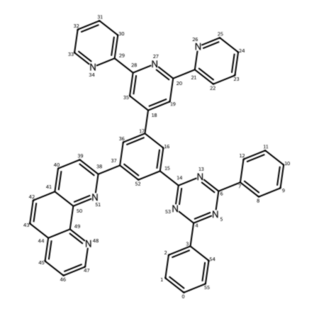 c1ccc(-c2nc(-c3ccccc3)nc(-c3cc(-c4cc(-c5ccccn5)nc(-c5ccccn5)c4)cc(-c4ccc5ccc6cccnc6c5n4)c3)n2)cc1